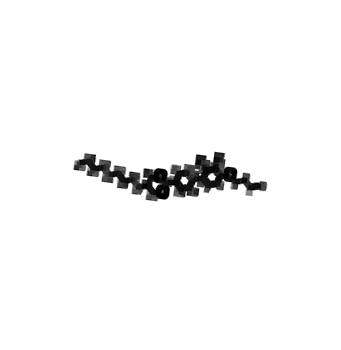 C=CCCOc1ccc(-c2ccc(C3OCC(CCCCCCCCC)CO3)cc2)c(F)c1F